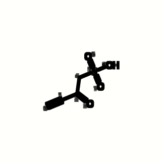 C#CC(=O)CS(=O)(=O)O